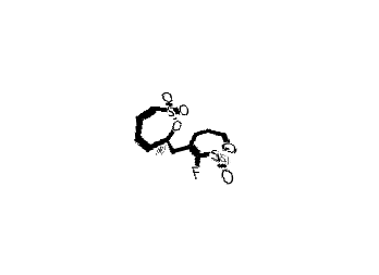 O=[S@]1OCCCC(C[C@H]2CCC=CS(=O)(=O)O2)=C1F